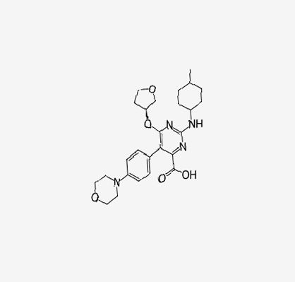 CC1CCC(Nc2nc(O[C@H]3CCOC3)c(-c3ccc(N4CCOCC4)cc3)c(C(=O)O)n2)CC1